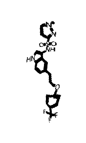 Cn1ccc(S(=O)(=O)Nc2c[nH]c3ccc(CCOc4ccc(C(F)(F)F)cc4)cc23)n1